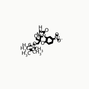 CC(C)(C)[Si](C)(C)OCC1(CO)Oc2ccc([N+](=O)[O-])cc2-n2c1n[nH]c2=O